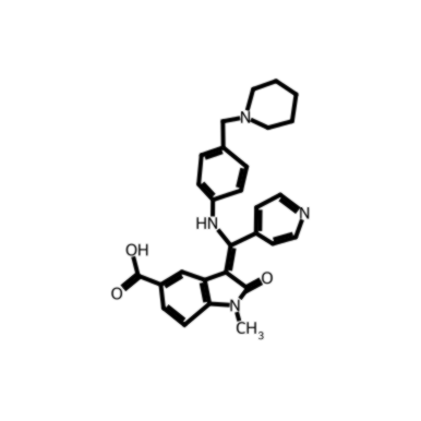 CN1C(=O)C(=C(Nc2ccc(CN3CCCCC3)cc2)c2ccncc2)c2cc(C(=O)O)ccc21